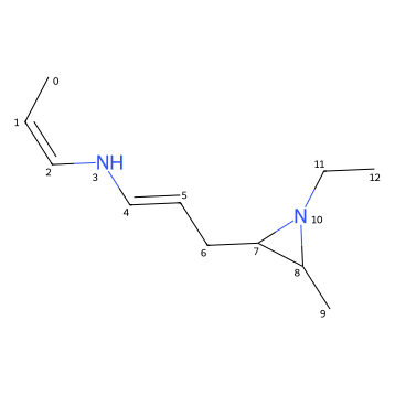 C/C=C\N/C=C/CC1C(C)N1CC